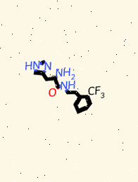 N[C@H](Cc1c[nH]cn1)C(=O)NCCc1ccccc1C(F)(F)F